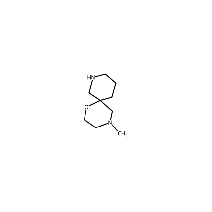 CN1CCOC2(CCCNC2)C1